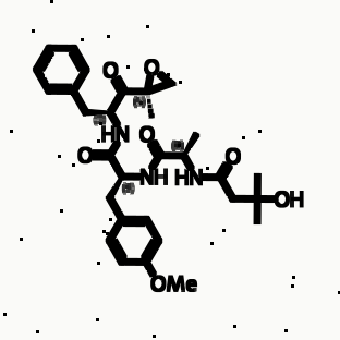 COc1ccc(C[C@H](NC(=O)[C@@H](C)NC(=O)CC(C)(C)O)C(=O)N[C@@H](Cc2ccccc2)C(=O)[C@]2(C)CO2)cc1